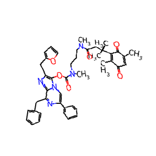 CC1=CC(=O)C(C)=C(C(C)(C)CC(=O)N(C)CCCN(C)C(=O)Oc2c(Cc3ccco3)nc3c(Cc4ccccc4)nc(-c4ccccc4)cn23)C1=O